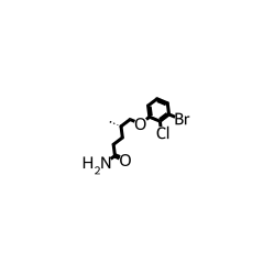 C[C@@H](CCC(N)=O)COc1cccc(Br)c1Cl